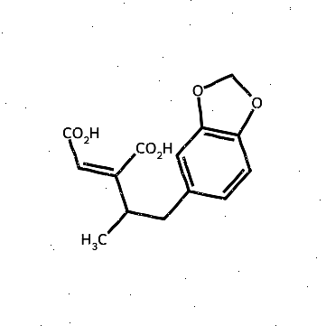 CC(Cc1ccc2c(c1)OCO2)/C(=C/C(=O)O)C(=O)O